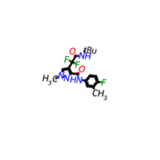 Cc1cc(NC(=O)c2nn(C)cc2C(F)(F)C(=O)NC(C)(C)C)ccc1F